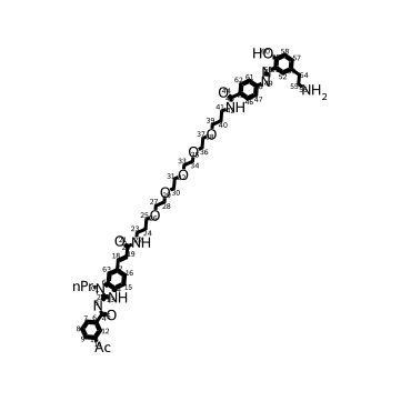 CCCn1/c(=N/C(=O)c2cccc(C(C)=O)c2)[nH]c2ccc(/C=C/C(=O)NCCCOCCOCCOCCOCCOCCCNC(=O)c3ccc(/N=N/c4cc(CCN)ccc4O)cc3)cc21